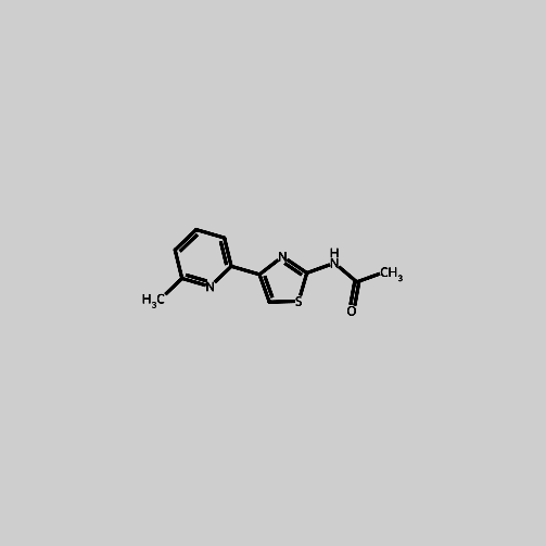 CC(=O)Nc1nc(-c2cccc(C)n2)cs1